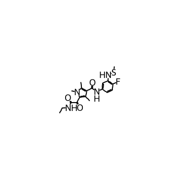 CCNC(=O)C(=O)c1c(C)c(C(=O)Nc2ccc(F)c(NSC)c2)c(C)n1C